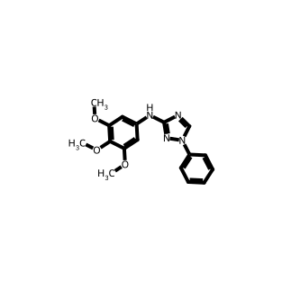 COc1cc(Nc2ncn(-c3ccccc3)n2)cc(OC)c1OC